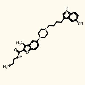 Cc1c(C(=O)NCCN)oc2ccc(N3CCN(CCCCc4c[nH]c5ccc(C#N)cc45)CC3)cc12